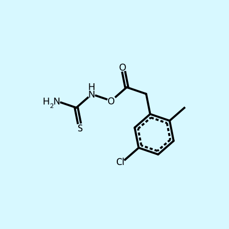 Cc1ccc(Cl)cc1CC(=O)ONC(N)=S